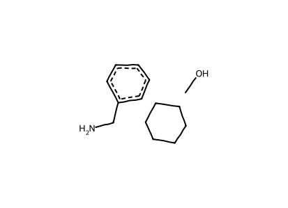 C1CCCCC1.CO.NCc1ccccc1